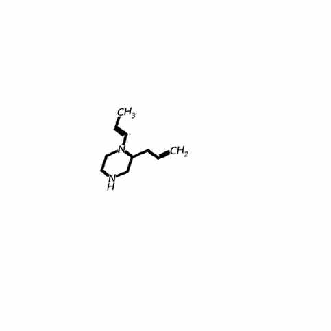 C=CCC1CNCCN1/[C]=C/C